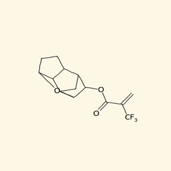 C=C(C(=O)OC1C2CC3C1OC1CCC2C13)C(F)(F)F